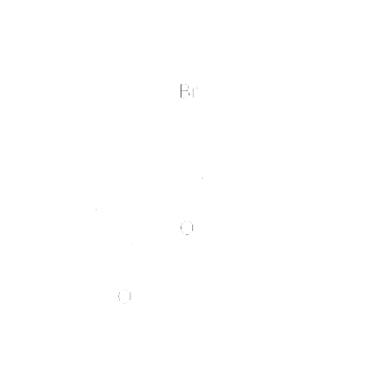 C=C1CCC2(OC1=O)c1ccccc1CC2Br